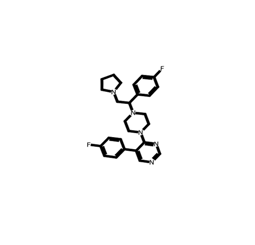 Fc1ccc(-c2cncnc2N2CCN(C(CN3CCCC3)c3ccc(F)cc3)CC2)cc1